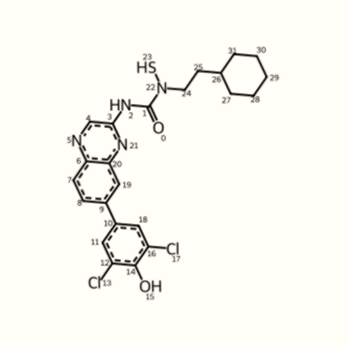 O=C(Nc1cnc2ccc(-c3cc(Cl)c(O)c(Cl)c3)cc2n1)N(S)CCC1CCCCC1